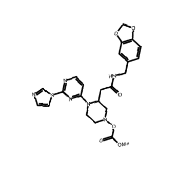 COC(=O)ON1CCN(c2ccnc(-n3ccnc3)n2)C(CC(=O)NCc2ccc3c(c2)OCO3)C1